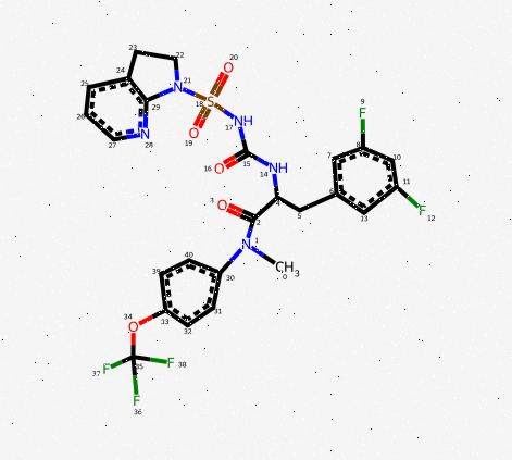 CN(C(=O)C(Cc1cc(F)cc(F)c1)NC(=O)NS(=O)(=O)N1CCc2cccnc21)c1ccc(OC(F)(F)F)cc1